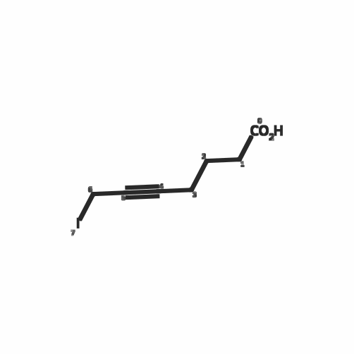 O=C(O)CCCC#CCI